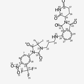 CC1(C)C(=O)N(c2ccc([N+](=O)[O-])c(C(F)(F)F)c2)C(=O)N1CCCNc1cccc2c1C(=O)N(C1CCC(=O)NC1=O)C2=O